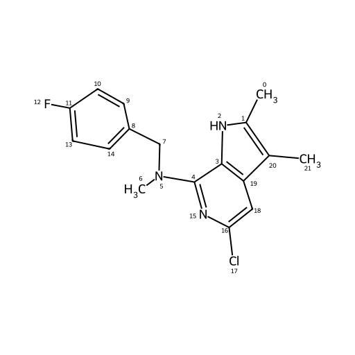 Cc1[nH]c2c(N(C)Cc3ccc(F)cc3)nc(Cl)cc2c1C